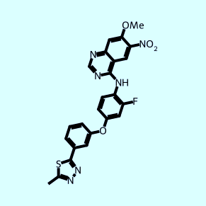 COc1cc2ncnc(Nc3ccc(Oc4cccc(-c5nnc(C)s5)c4)cc3F)c2cc1[N+](=O)[O-]